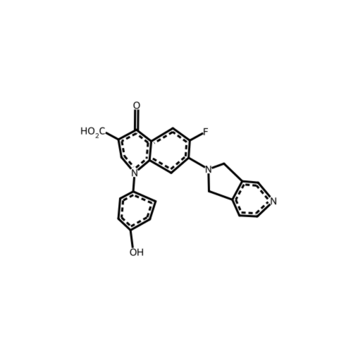 O=C(O)c1cn(-c2ccc(O)cc2)c2cc(N3Cc4ccncc4C3)c(F)cc2c1=O